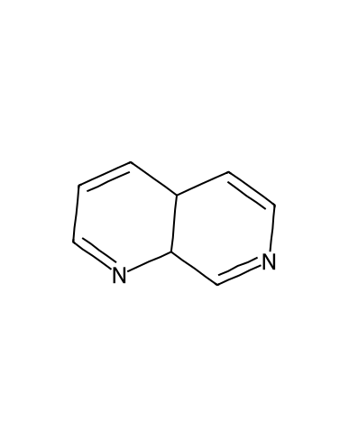 C1=CC2C=CN=CC2N=C1